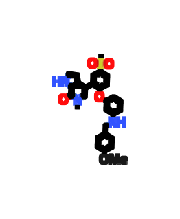 COc1ccc(CNc2cccc(Oc3ccc(S(C)(=O)=O)cc3-c3cn(C)c(=O)c4[nH]ccc34)c2)cc1